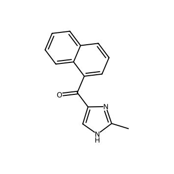 Cc1nc(C(=O)c2cccc3ccccc23)c[nH]1